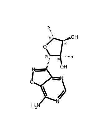 C[C@H]1O[C@@H](c2noc3c(N)ncnc23)[C@](C)(O)[C@@H]1O